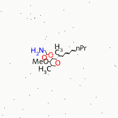 CCC/C=C/C=C/C=C(\C)[C@@H]1OC[C@@H](C)[C@@H](OC)[C@@H]1OC(=O)CN